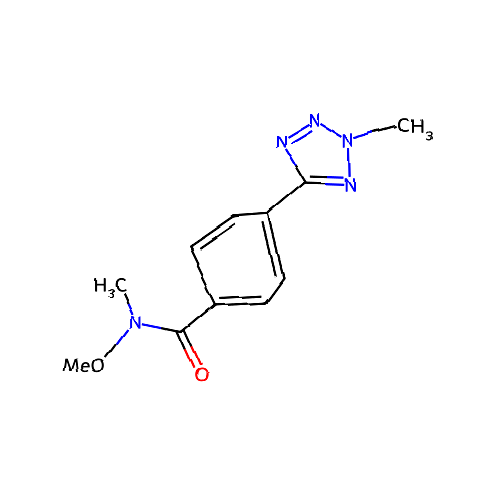 CON(C)C(=O)c1ccc(-c2nnn(C)n2)cc1